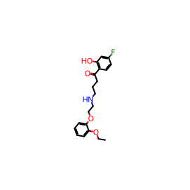 CCOc1ccccc1OCCNCCCC(=O)c1ccc(F)cc1O